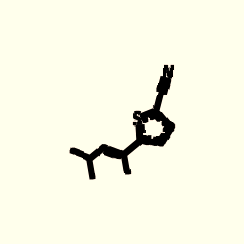 C/C(=C\C(C)C)c1ccc(C#N)s1